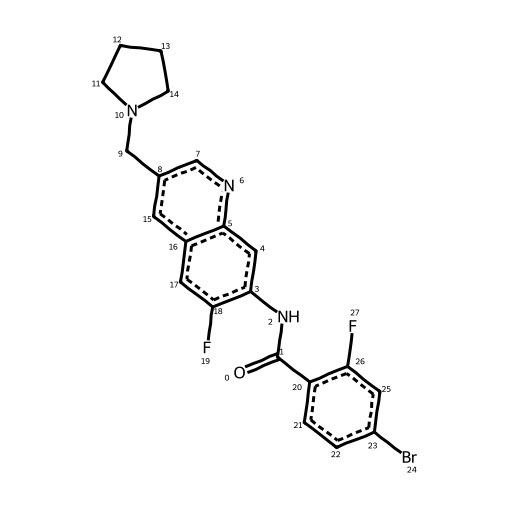 O=C(Nc1cc2ncc(CN3CCCC3)cc2cc1F)c1ccc(Br)cc1F